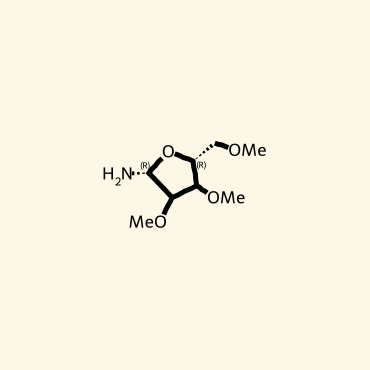 COC[C@H]1O[C@@H](N)C(OC)C1OC